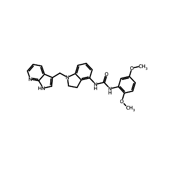 COc1ccc(OC)c(NC(=O)Nc2cccc3c2CCN3Cc2c[nH]c3ncccc23)c1